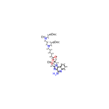 CCCCCCCCCCCCN(CC)CCCN(CCCCCCCCCCCC)CCCCCC(=O)OC(C)(C)Cn1c(COCC)nc2c(N)nc3ccccc3c21